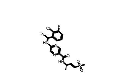 CC(C)C(Nc1cnc(C(=O)N[C@H](C)/C=C/S(C)(=O)=O)cn1)c1cccc(F)c1Cl